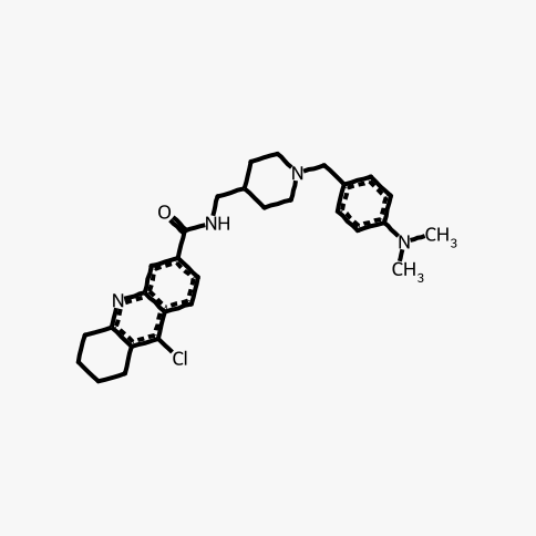 CN(C)c1ccc(CN2CCC(CNC(=O)c3ccc4c(Cl)c5c(nc4c3)CCCC5)CC2)cc1